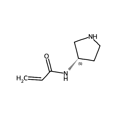 C=CC(=O)N[C@H]1CCNC1